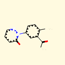 COC(=O)c1cc(-n2ncccc2=O)ccc1OC